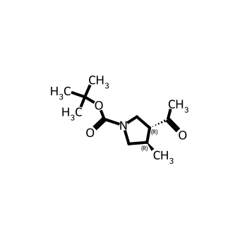 CC(=O)[C@H]1CN(C(=O)OC(C)(C)C)C[C@@H]1C